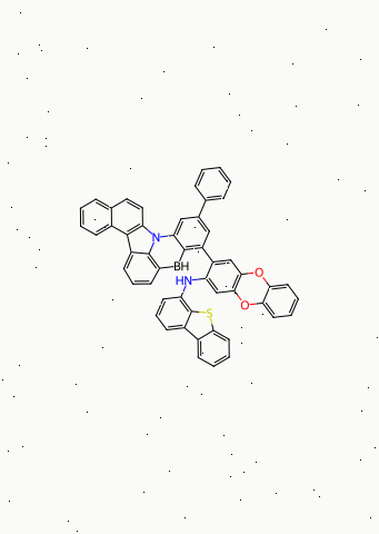 B1c2c(-c3cc4c(cc3Nc3cccc5c3sc3ccccc35)Oc3ccccc3O4)cc(-c3ccccc3)cc2-n2c3ccc4ccccc4c3c3cccc1c32